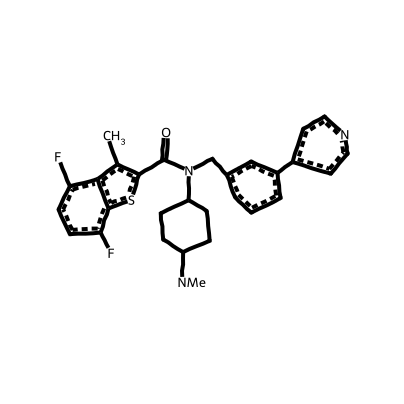 CNC1CCC(N(Cc2cccc(-c3ccncc3)c2)C(=O)c2sc3c(F)ccc(F)c3c2C)CC1